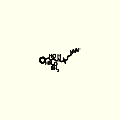 BC(=O)N[C@@H](Cc1ccccc1)[C@H](O)CNCC(C)(C)CCCN=[N+]=[N-]